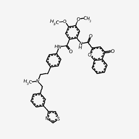 COc1cc(NC(=O)c2cc(=O)c3ccccc3o2)c(C(=O)Nc2ccc(CCN(C)Cc3cccc(-c4cscn4)c3)cc2)cc1OC